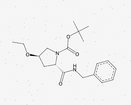 CCO[C@@H]1C[C@@H](C(=O)NCc2ccccc2)N(C(=O)OC(C)(C)C)C1